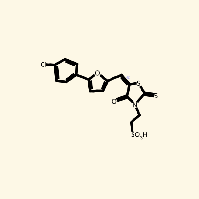 O=C1/C(=C\c2ccc(-c3ccc(Cl)cc3)o2)SC(=S)N1CCS(=O)(=O)O